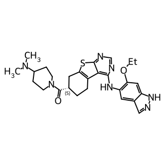 CCOc1cc2[nH]ncc2cc1Nc1ncnc2sc3c(c12)CC[C@H](C(=O)N1CCC(N(C)C)CC1)C3